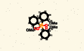 COc1ccccc1P(O)(O)(c1ccccc1OC)c1ccccc1OC